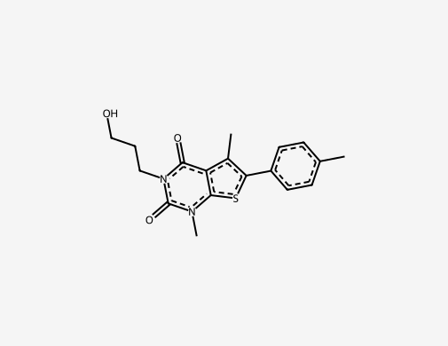 Cc1ccc(-c2sc3c(c2C)c(=O)n(CCCO)c(=O)n3C)cc1